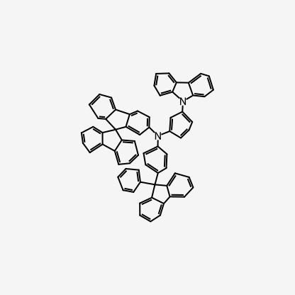 c1ccc(C2(c3ccc(N(c4cccc(-n5c6ccccc6c6ccccc65)c4)c4ccc5c(c4)C4(c6ccccc6-c6ccccc64)c4ccccc4-5)cc3)c3ccccc3-c3ccccc32)cc1